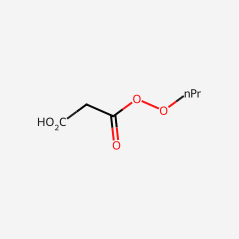 CCCOOC(=O)CC(=O)O